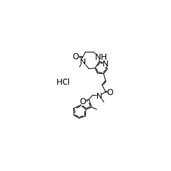 Cc1c(CN(C)C(=O)C=Cc2cnc3c(c2)CN(C)C(=O)CCN3)oc2ccccc12.Cl